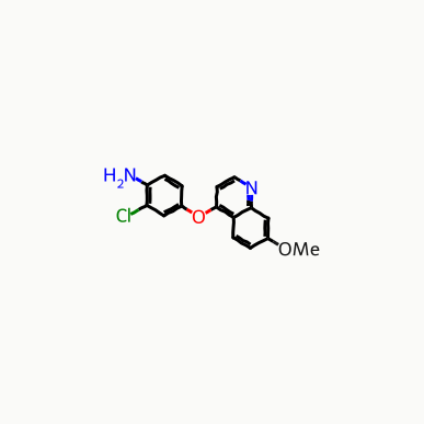 COc1ccc2c(Oc3ccc(N)c(Cl)c3)ccnc2c1